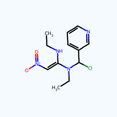 CCNC(=C[N+](=O)[O-])N(CC)C(Cl)c1cccnc1